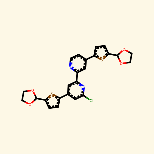 Clc1cc(-c2ccc(C3OCCO3)s2)cc(-c2cc(-c3ccc(C4OCCO4)s3)ccn2)n1